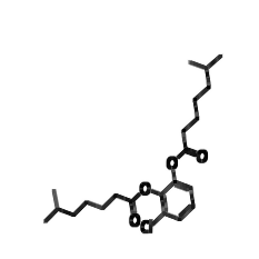 CC(C)CCCCC(=O)Oc1cccc(Cl)c1OC(=O)CCCCC(C)C